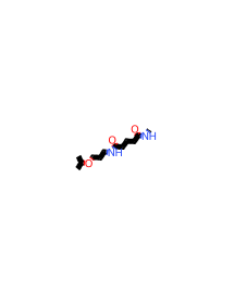 CNC(=O)CCCC(=O)NCCCOC(C)C